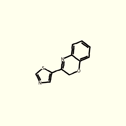 c1ccc2c(c1)N=C(c1cncs1)CO2